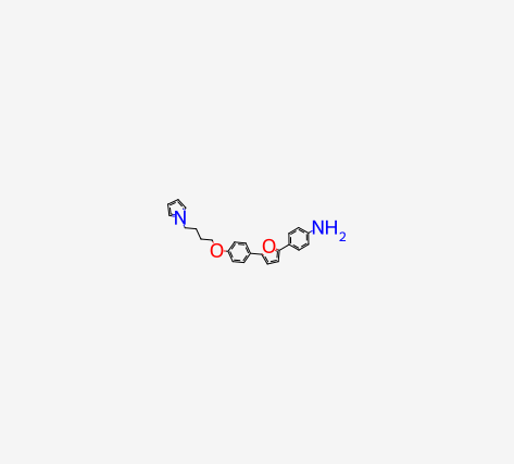 Nc1ccc(-c2ccc(-c3ccc(OCCCCn4cccc4)cc3)o2)cc1